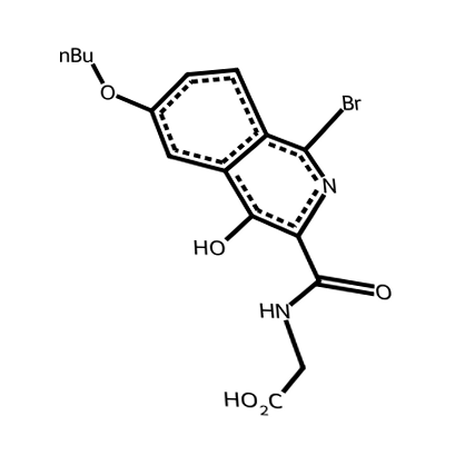 CCCCOc1ccc2c(Br)nc(C(=O)NCC(=O)O)c(O)c2c1